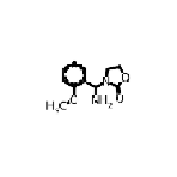 COc1ccccc1C(N)N1CCOC1=O